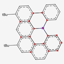 CC(C)(C)c1ccc(-c2ccccc2N(c2ccccc2-c2ccc(C(C)(C)C)cc2)c2ccccc2-c2cccc3cccc(C4CCCCC4)c23)cc1